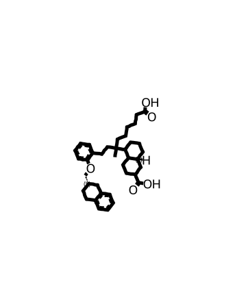 CC(CCCCCC(=O)O)(CCc1ccccc1OC[C@H]1CCc2ccccc2C1)C1CCC[C@@H]2CC(C(=O)O)CCC12